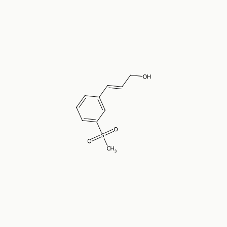 CS(=O)(=O)c1cccc(C=CCO)c1